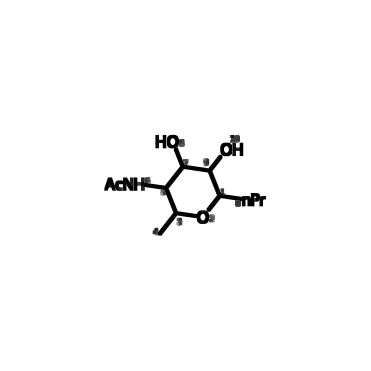 CCCC1OC(C)C(NC(C)=O)C(O)C1O